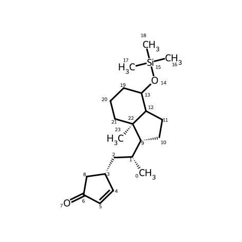 C[C@H](C[C@@H]1C=CC(=O)C1)[C@H]1CCC2C(O[Si](C)(C)C)CCC[C@@]21C